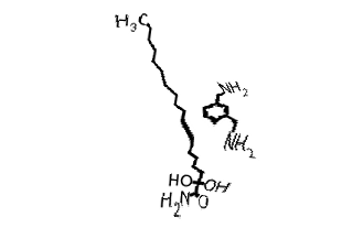 CCCCCCCCCCCCCCCCC(O)(O)C(N)=O.NCc1cccc(CN)c1